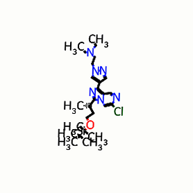 CCN(CC)CCn1cc(-c2nc([C@@H](C)CCO[Si](C)(C)C(C)(C)C)n3cc(Cl)ncc23)cn1